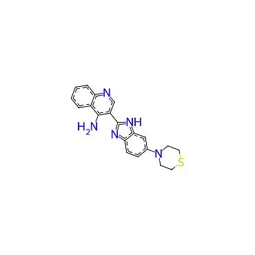 Nc1c(-c2nc3ccc(N4CCSCC4)cc3[nH]2)cnc2ccccc12